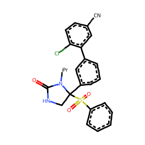 CC(C)N1C(=O)NCC1(c1cccc(-c2cc(C#N)ccc2Cl)c1)S(=O)(=O)c1ccccc1